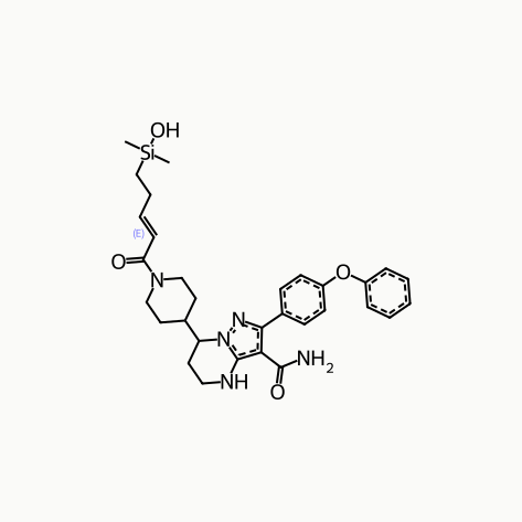 C[Si](C)(O)CC/C=C/C(=O)N1CCC(C2CCNc3c(C(N)=O)c(-c4ccc(Oc5ccccc5)cc4)nn32)CC1